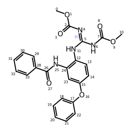 COC(=O)/N=C(/NC(=O)OC)Nc1ccc(Oc2ccccc2)cc1NC(=O)c1ccccc1